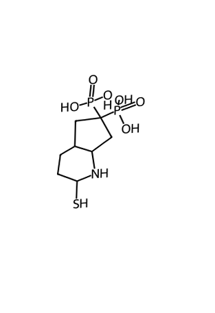 O=P(O)(O)C1(P(=O)(O)O)CC2CCC(S)NC2C1